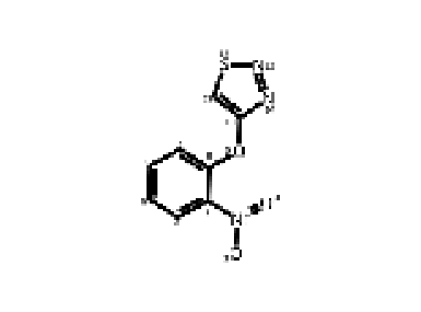 O=[N+]([O-])c1ccccc1Oc1csnn1